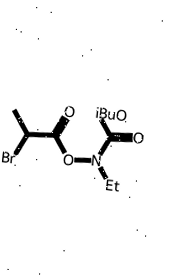 CCN(OC(=O)C(C)Br)C(=O)OCC(C)C